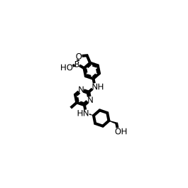 Cc1cnc(Nc2ccc3c(c2)B(O)OC3)nc1N[C@H]1CC[C@H](CO)CC1